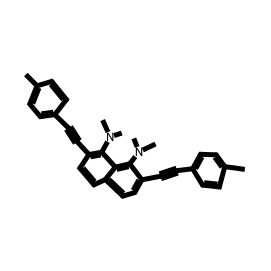 Cc1ccc(C#Cc2ccc3ccc(C#Cc4ccc(C)cc4)c(N(C)C)c3c2N(C)C)cc1